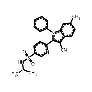 Cc1ccc2c(C#N)c(-c3ccc(S(=O)(=O)N[C@@H](C)C(F)(F)F)cn3)n(-c3ccccc3)c2c1